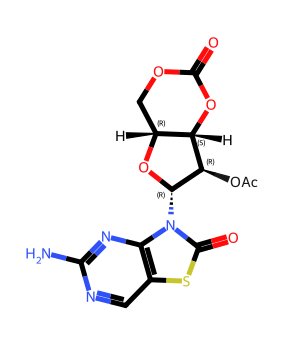 CC(=O)O[C@@H]1[C@H]2OC(=O)OC[C@H]2O[C@H]1n1c(=O)sc2cnc(N)nc21